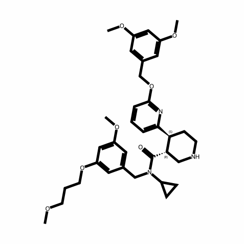 COCCCOc1cc(CN(C(=O)[C@H]2CNCC[C@@H]2c2cccc(OCc3cc(OC)cc(OC)c3)n2)C2CC2)cc(OC)c1